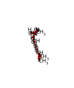 CCn1c2ccc(CNCCOCCOCCOCCOCCC(=O)NCCOc3ccc(CCc4nc5cc(-c6c(C)noc6C)ccc5n4CCN4CCOCC4)cc3F)cc2c2ccc(-c3cc(C)cs3)cc21